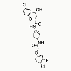 O=C(COc1ccc(Cl)c(F)c1)NC1CC2CC1CC2NC(=O)[C@H]1C[C@@H](O)c2cc(Cl)ccc2O1